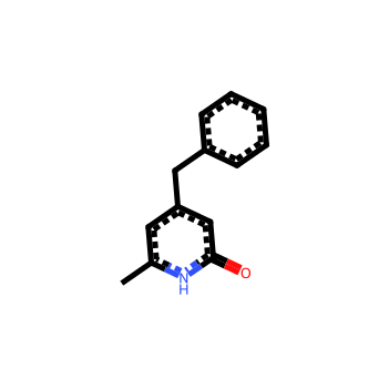 Cc1cc(Cc2ccccc2)cc(=O)[nH]1